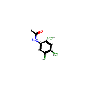 CC(=O)Nc1ccc(Cl)c(F)c1.Cl